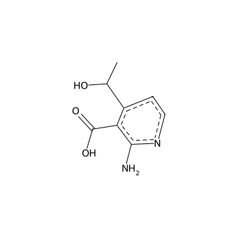 CC(O)c1ccnc(N)c1C(=O)O